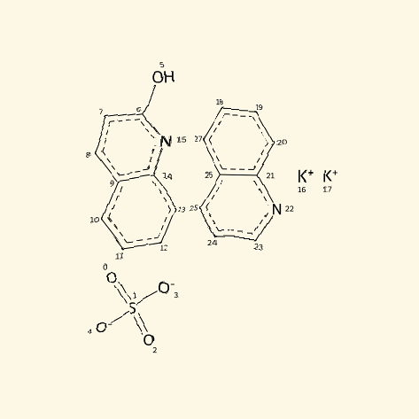 O=S(=O)([O-])[O-].Oc1ccc2ccccc2n1.[K+].[K+].c1ccc2ncccc2c1